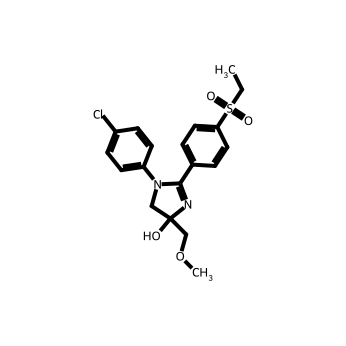 CCS(=O)(=O)c1ccc(C2=NC(O)(COC)CN2c2ccc(Cl)cc2)cc1